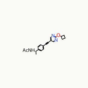 CC(=O)N[C@@H](C)c1ccc(C#Cc2cnc(OC3CCC3)nc2)cc1